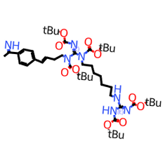 CC(=N)c1ccc(C=CCCN(C(=O)OC(C)(C)C)/C(=N\C(=O)OC(C)(C)C)N(CCCCCCCN/C(=N\C(=O)OC(C)(C)C)NC(=O)OC(C)(C)C)C(=O)OC(C)(C)C)cc1